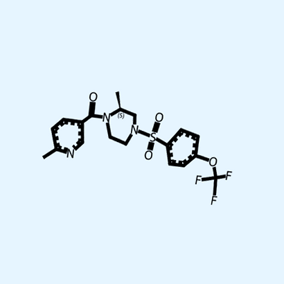 Cc1ccc(C(=O)N2CCN(S(=O)(=O)c3ccc(OC(F)(F)F)cc3)C[C@@H]2C)cn1